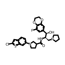 O=C(N[C@H](CN1CCCC1)[C@H](O)c1cc(F)c2c(c1)OCCO2)C1CCN(c2ccc3cc(Cl)sc3c2)C1